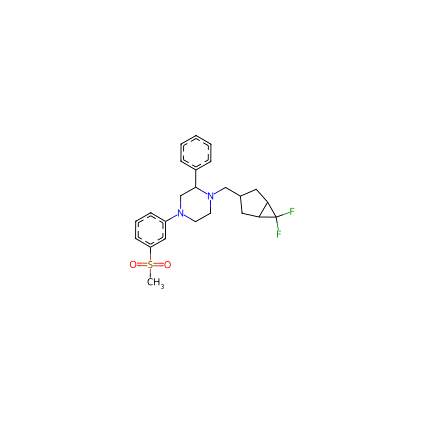 CS(=O)(=O)c1cccc(N2CCN(CC3CC4C(C3)C4(F)F)C(c3ccccc3)C2)c1